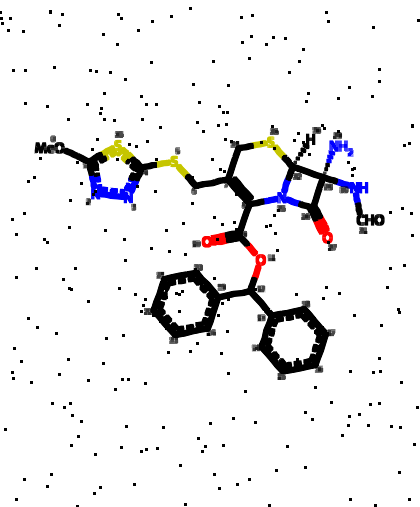 COc1nnc(SCC2=C(C(=O)OC(c3ccccc3)c3ccccc3)N3C(=O)[C@](N)(NC=O)[C@@H]3SC2)s1